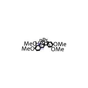 C=C(/C=c1/ccc(OC)c(OC)/c1=C/C)c1cc(OC)c(OC)cc1CCC